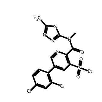 CCS(=O)(=O)c1cc(-c2ccc(Cl)cc2Cl)cnc1C(=O)N(C)c1nnc(C(F)(F)F)s1